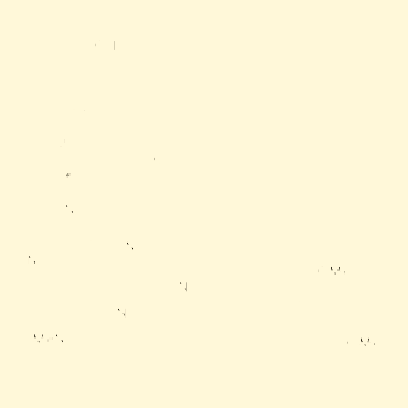 CNc1nc(NCc2ccc(OC)c(OC)c2)nc2c1ncn2[C@@H]1O[C@H](CO)CC1(C)C